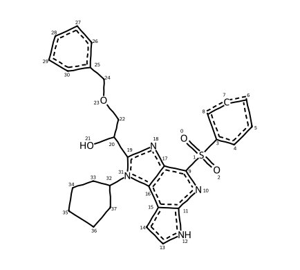 O=S(=O)(c1ccccc1)c1nc2[nH]ccc2c2c1nc(C(O)COCc1ccccc1)n2C1CCCCC1